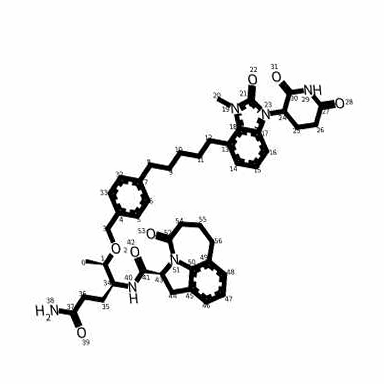 C[C@@H](OCc1ccc(CCCCCc2cccc3c2n(C)c(=O)n3C2CCC(=O)NC2=O)cc1)[C@H](CCC(N)=O)NC(=O)[C@@H]1Cc2cccc3c2N1C(=O)CCC3